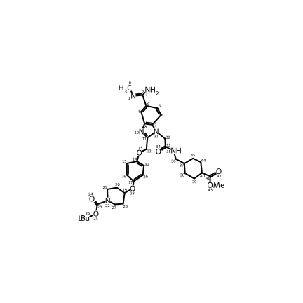 CN=C(N)c1ccc2c(c1)nc(COc1ccc(OC3CCN(C(=O)OC(C)(C)C)CC3)cc1)n2CC(=O)NCC1CCC(C(=O)OC)CC1